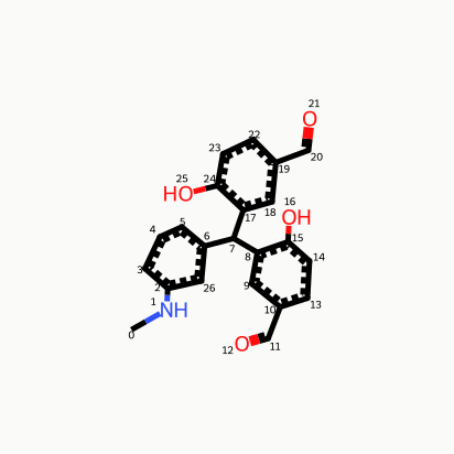 CNc1cccc(C(c2cc(C=O)ccc2O)c2cc(C=O)ccc2O)c1